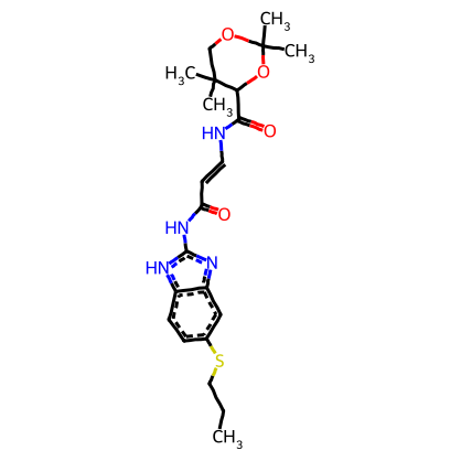 CCCSc1ccc2[nH]c(NC(=O)/C=C/NC(=O)C3OC(C)(C)OCC3(C)C)nc2c1